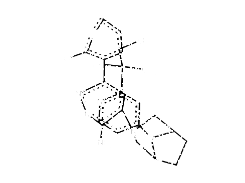 CCC(C)(C)c1cc(N2C3CCC2CN(c2cc(-c4ccccc4O)nnc2N)C3)ccn1